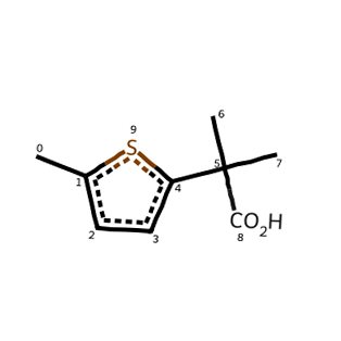 Cc1ccc(C(C)(C)C(=O)O)s1